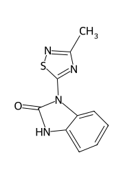 Cc1nsc(-n2c(=O)[nH]c3ccccc32)n1